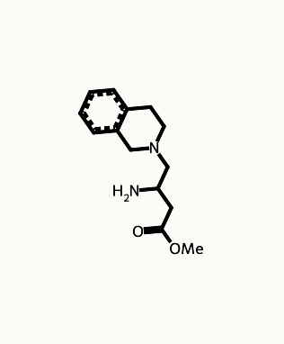 COC(=O)CC(N)CN1CCc2ccccc2C1